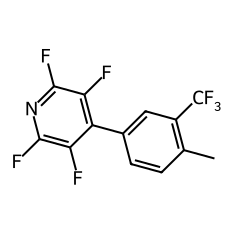 Cc1ccc(-c2c(F)c(F)nc(F)c2F)cc1C(F)(F)F